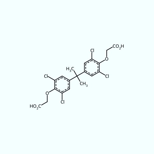 CC(C)(c1cc(Cl)c(OCC(=O)O)c(Cl)c1)c1cc(Cl)c(OCC(=O)O)c(Cl)c1